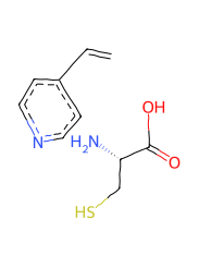 C=Cc1ccncc1.N[C@@H](CS)C(=O)O